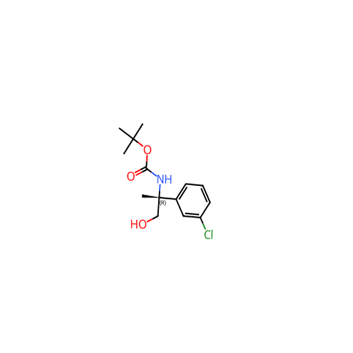 CC(C)(C)OC(=O)N[C@@](C)(CO)c1cccc(Cl)c1